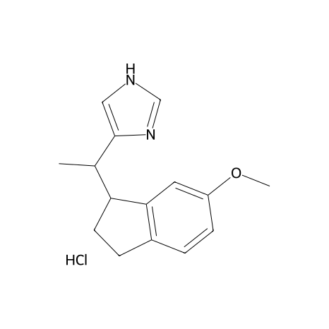 COc1ccc2c(c1)C(C(C)c1c[nH]cn1)CC2.Cl